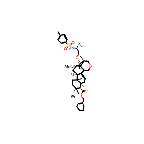 CO[C@@H]1C[C@@]23COC[C@](C)([C@@H]2CC[C@H]2C3=CC[C@@]3(C)[C@H](C(=O)OCc4ccccc4)[C@@](C)([C@H](C)C(C)C)CC[C@]23C)[C@H]1OC[C@@H](NS(=O)(=O)c1ccc(C)cc1)C(C)(C)C